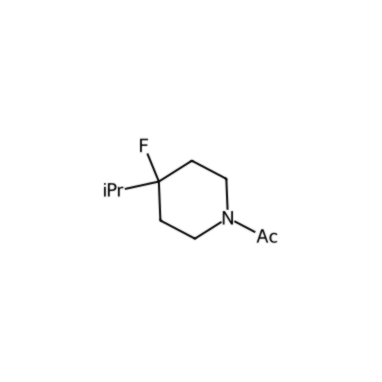 CC(=O)N1CCC(F)(C(C)C)CC1